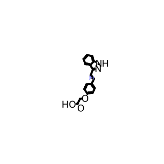 O=C(O)COc1ccc(/C=C/c2n[nH]c3ccccc23)cc1